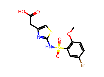 COc1ccc(Br)cc1S(=O)(=O)Nc1nc(CC(=O)O)cs1